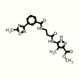 COC(=O)c1n[nH]c(NC(=O)CCNC(=O)c2cccc(-c3noc(C)n3)c2)c1C